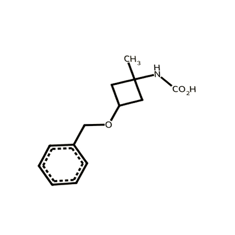 CC1(NC(=O)O)CC(OCc2ccccc2)C1